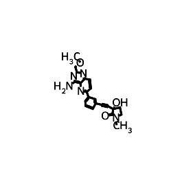 COCc1nc(N)c2nc(-c3cccc(C#C[C@]4(O)CCN(C)C4=O)c3)ccc2n1